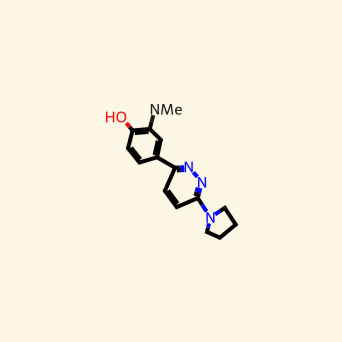 CNc1cc(-c2ccc(N3CCCC3)nn2)ccc1O